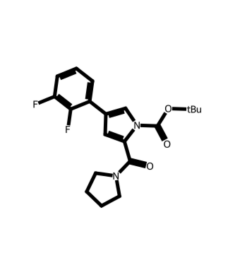 CC(C)(C)OC(=O)n1cc(-c2cccc(F)c2F)cc1C(=O)N1CCCC1